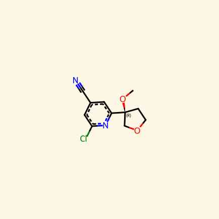 CO[C@@]1(c2cc(C#N)cc(Cl)n2)CCOC1